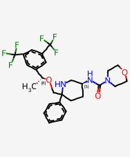 C[C@@H](OCC1(c2ccccc2)CC[C@H](NC(=O)N2CCOCC2)CN1)c1cc(C(F)(F)F)cc(C(F)(F)F)c1